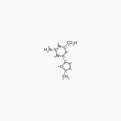 Cc1ccc(-c2cc(C(=O)O)nc(N)n2)o1